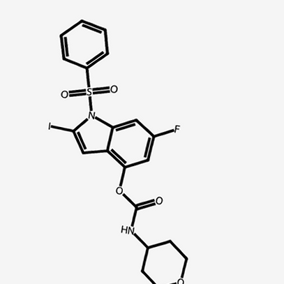 O=C(NC1CCOCC1)Oc1cc(F)cc2c1cc(I)n2S(=O)(=O)c1ccccc1